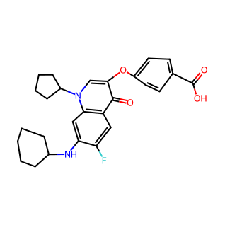 O=C(O)c1ccc(Oc2cn(C3CCCC3)c3cc(NC4CCCCC4)c(F)cc3c2=O)cc1